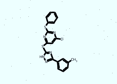 Cc1cccc(-c2n[nH]c(Sc3cc(Cl)nc(Sc4ccccc4)n3)n2)c1